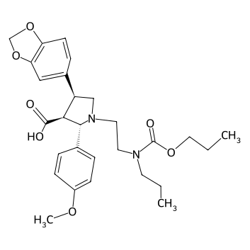 CCCOC(=O)N(CCC)CCN1C[C@H](c2ccc3c(c2)OCO3)[C@H](C(=O)O)[C@H]1c1ccc(OC)cc1